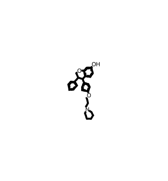 Oc1ccc2c(c1)OCC(c1ccccc1)C2c1ccc(OCCCN2CCCCC2)cc1